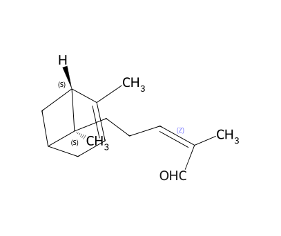 CC1=CCC2C[C@H]1[C@@]2(C)CC/C=C(/C)C=O